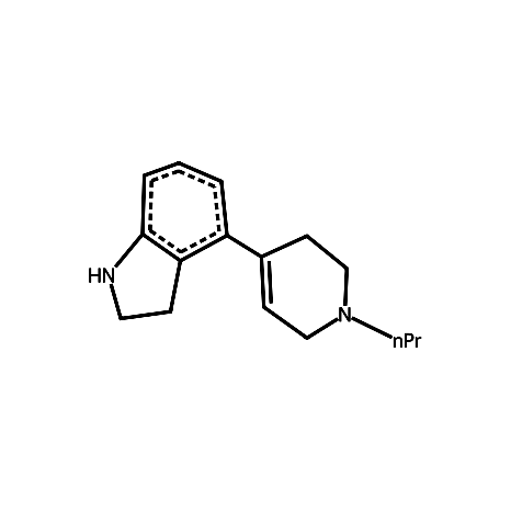 CCCN1CC=C(c2cccc3c2CCN3)CC1